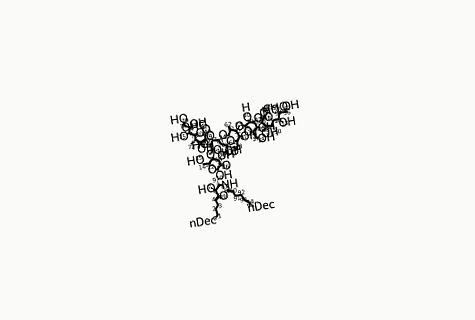 CCCCCCCCCCCCC/C=C/[C@@H](O)[C@H](CO[C@@H]1OC(CO)[C@@H](O[C@@H]2OC(CO)[C@H](O[C@@H]3OC(CO)[C@H](O)[C@H](O[C@@H]4OC(CO)[C@H](O)[C@H](O[C@]5(OC=O)C[C@@H](O)[C@@H](C)C([C@H](O)[C@H](O)CO)O5)C4O)C3C)[C@H](O[C@]3(OC=O)C[C@@H](O)[C@@H](C)C([C@H](O)[C@H](O)CO)O3)C2O)[C@H](O)C1O)NC(=O)CCCCCCCCCCCCCCC